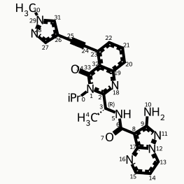 CC(C)n1c([C@@H](C)NC(=O)c2c(N)nn3cccnc23)nc2cccc(C#Cc3cnn(C)c3)c2c1=O